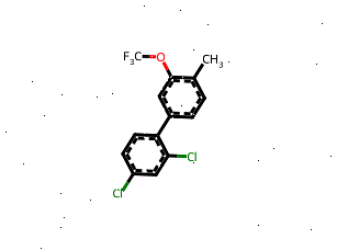 Cc1ccc(-c2ccc(Cl)cc2Cl)cc1OC(F)(F)F